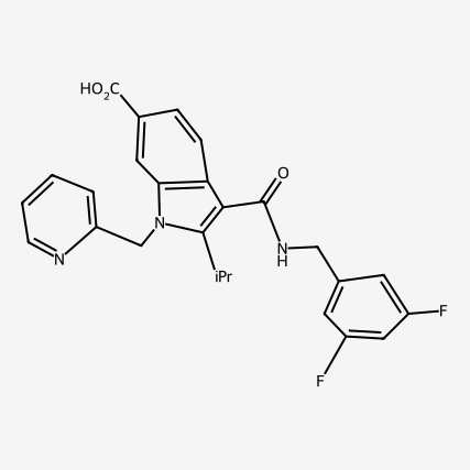 CC(C)c1c(C(=O)NCc2cc(F)cc(F)c2)c2ccc(C(=O)O)cc2n1Cc1ccccn1